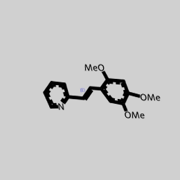 COc1cc(OC)c(OC)cc1/C=C/c1ccccn1